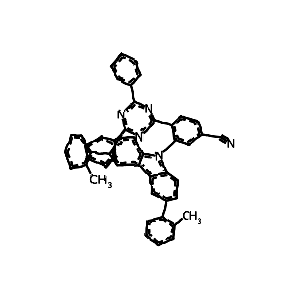 Cc1ccccc1-c1ccc2c(c1)c1cc(-c3ccccc3C)ccc1n2-c1cc(C#N)ccc1-c1nc(-c2ccccc2)nc(-c2ccccc2)n1